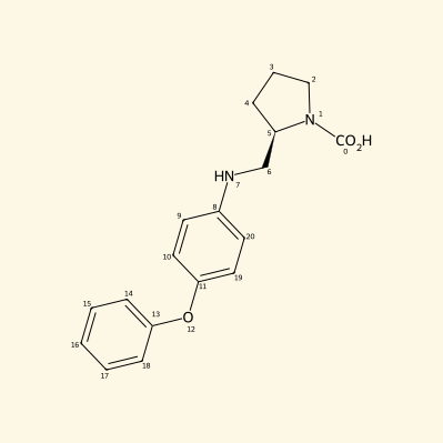 O=C(O)N1CCC[C@@H]1CNc1ccc(Oc2ccccc2)cc1